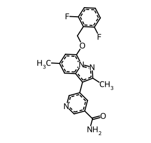 Cc1cc(OCc2c(F)cccc2F)n2nc(C)c(-c3cncc(C(N)=O)c3)c2c1